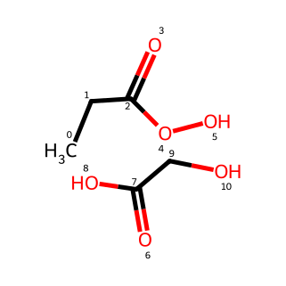 CCC(=O)OO.O=C(O)CO